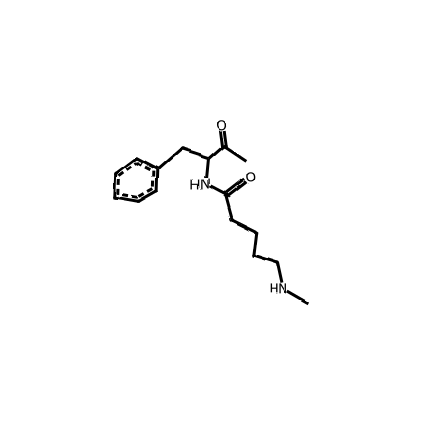 CNCCCCC(=O)NC(Cc1ccccc1)C(C)=O